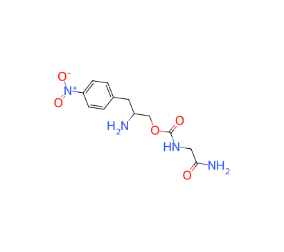 NC(=O)CNC(=O)OCC(N)Cc1ccc([N+](=O)[O-])cc1